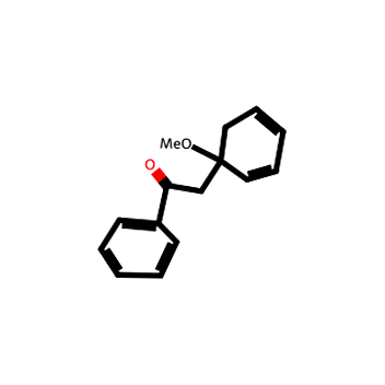 COC1(CC(=O)c2ccccc2)C=CC=CC1